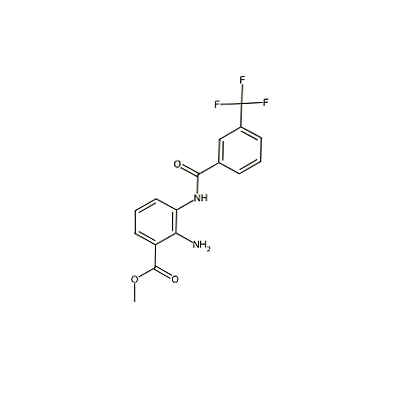 COC(=O)c1cccc(NC(=O)c2cccc(C(F)(F)F)c2)c1N